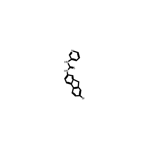 S=C(Nc1cccnc1)Nc1ccc2c(c1)Cc1cc(Br)ccc1-2